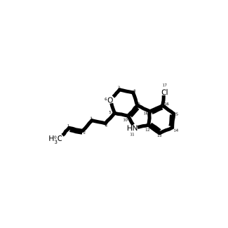 C/C=C/CCC1OCCc2c1[nH]c1cccc(Cl)c21